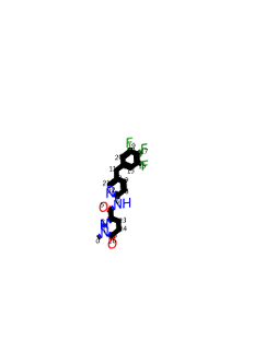 CN1N=C(C(=O)Nc2ccc(Cc3cc(F)c(F)c(F)c3)cn2)CCC1=O